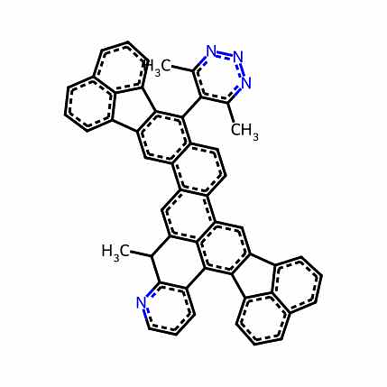 Cc1nnnc(C)c1-c1c2c(cc3c1ccc1c4cc5c(c6c4c(cc31)C(C)c1ncccc1-6)-c1cccc3cccc-5c13)-c1cccc3cccc-2c13